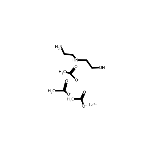 CC(=O)[O-].CC(=O)[O-].CC(=O)[O-].NCCNCCO.[La+3]